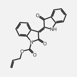 C=CCOC(=O)N1C(=O)/C(=C2\Nc3ccccc3C2=O)c2ccccc21